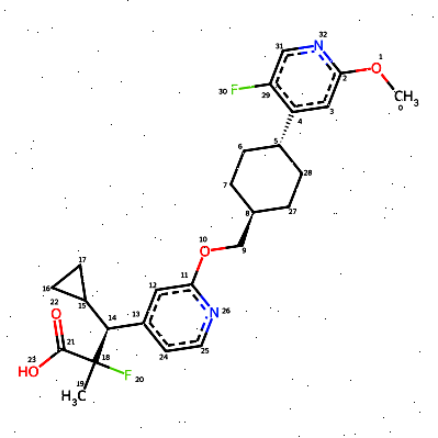 COc1cc([C@H]2CC[C@H](COc3cc([C@H](C4CC4)C(C)(F)C(=O)O)ccn3)CC2)c(F)cn1